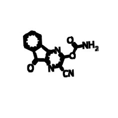 N#Cc1nc2c(nc1OC(N)=O)-c1ccccc1C2=O